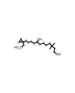 CC(C)(CCO)CCCCC(O)CCCCC1(CC(=O)O)CC1